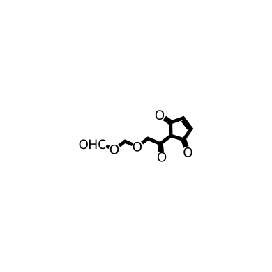 O=COCOCC(=O)C1C(=O)C=CC1=O